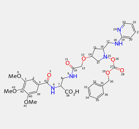 COc1cc(C(=O)NC(CNC(=O)COC2CC(CNc3ccccn3)N(OC(=O)OCc3ccccc3)C2)C(=O)O)cc(OC)c1OC